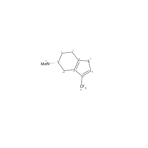 CN[C@@H]1CCc2scc(C(F)(F)F)c2C1